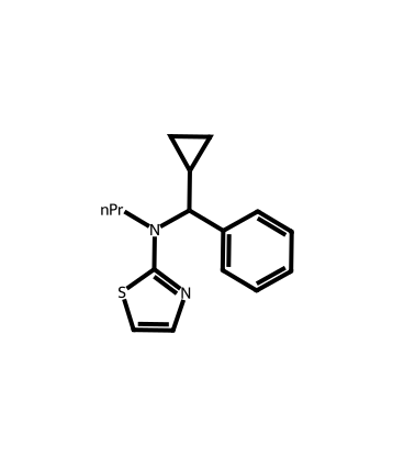 CCCN(c1nccs1)C(c1ccccc1)C1CC1